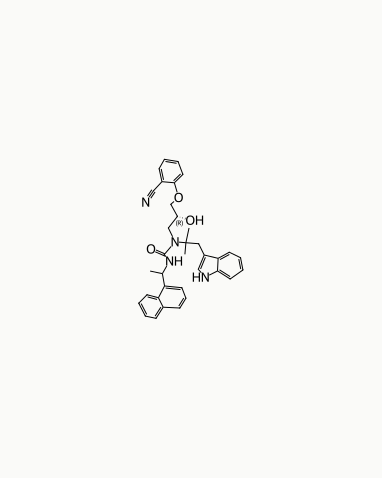 CC(NC(=O)N(C[C@@H](O)COc1ccccc1C#N)C(C)(C)Cc1c[nH]c2ccccc12)c1cccc2ccccc12